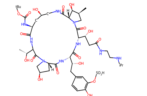 CC(C)NCCNC(=O)C[C@@H](O)[C@@H]1NC(=O)[C@H]([C@H](O)Cc2ccc(O)c(OS(=O)(=O)O)c2)NC(=O)[C@@H]2C[C@@H](O)CN2C(=O)C([C@@H](C)O)NC(=O)[C@@H](NC(=O)OC(C)(C)C)C[C@@H](O)CNC(=O)[C@@H]2[C@@H](O)[C@@H](C)CN2C1=O